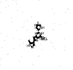 Cc1[nH]ncc1-c1cc2nc([C@@H]3CC(F)(F)CN3)[nH]c(=O)c2s1.Cl.Cl